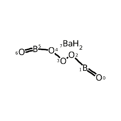 O=BOOOB=O.[BaH2]